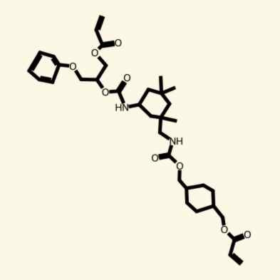 C=CC(=O)OCC1CCC(COC(=O)NCC2(C)CC(NC(=O)OC(COC(=O)C=C)COc3ccccc3)CC(C)(C)C2)CC1